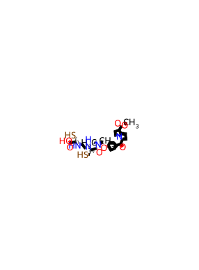 COC(=O)C1CCn2c(C(=O)c3ccc(OC(C)N(C)C(=O)[C@H](CS)NCCN[C@@H](CS)C(=O)O)cc3)ccc21